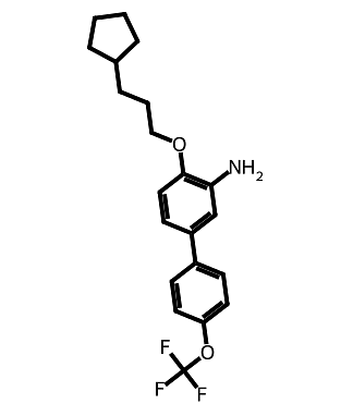 Nc1cc(-c2ccc(OC(F)(F)F)cc2)ccc1OCCCC1CCCC1